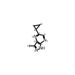 Ic1n[nH]c2ncc(C3CC3)nc12